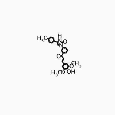 COc1cc(/C=C/C(=O)c2cccc(-n3cc(-c4ccc(C)cc4)[nH]c3=O)c2)cc(OC)c1O